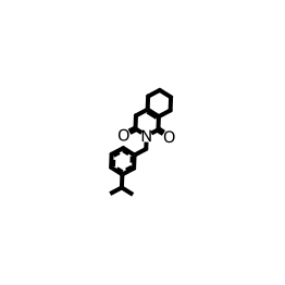 CC(C)c1cccc(CN2C(=O)CC3=C(CCCC3)C2=O)c1